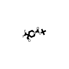 CC(C)(C)OC(=O)N1CCC(C=O)(C(F)F)CC1